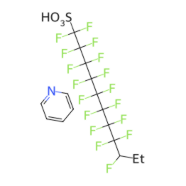 CCC(F)C(F)(F)C(F)(F)C(F)(F)C(F)(F)C(F)(F)C(F)(F)C(F)(F)C(F)(F)S(=O)(=O)O.c1ccncc1